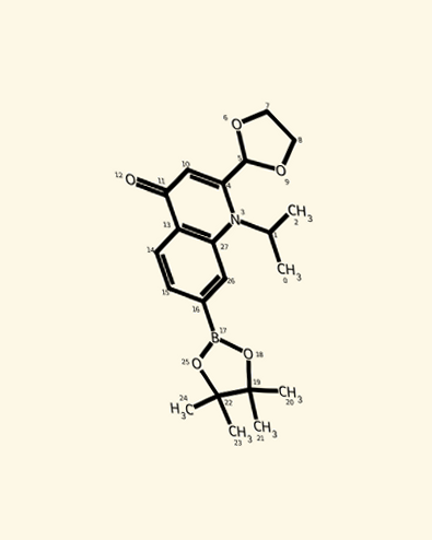 CC(C)n1c(C2OCCO2)cc(=O)c2ccc(B3OC(C)(C)C(C)(C)O3)cc21